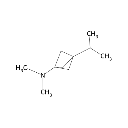 CC(C)C12CC(N(C)C)(C1)C2